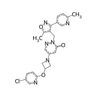 Cc1ccc(-c2noc(C)c2Cn2ncc(N3CC(Oc4ccc(Cl)cn4)C3)cc2=O)cn1